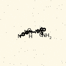 N#Cc1ccc(-c2ccc(C(=O)NCCCCN3CCC(c4ccc5c(c4OCC(N)=O)CCCC5)CC3)cn2)cc1